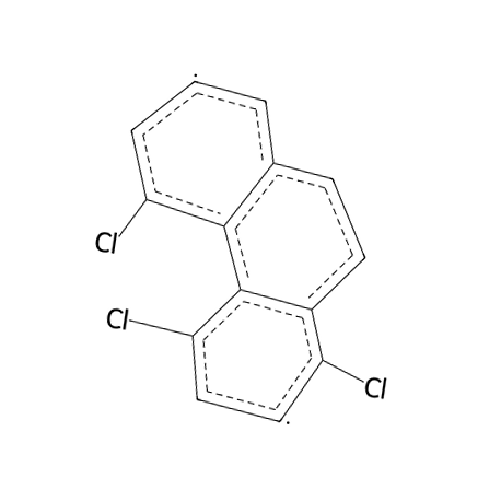 Clc1[c]cc(Cl)c2c1ccc1c[c]cc(Cl)c12